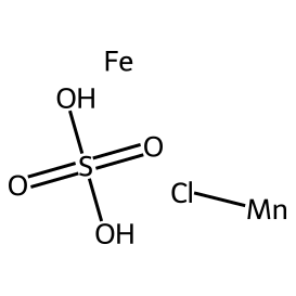 O=S(=O)(O)O.[Cl][Mn].[Fe]